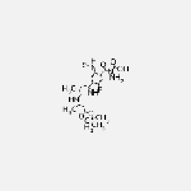 CC(CNC(C)CC(=O)OC(C)(C)C)CC(=N)c1cc(NC2CC2)c(C(=O)N(N)C(=O)O)cc1F